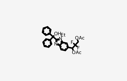 CCn1c(C(O)(c2ccccc2)c2ccccc2)nc2ccc(C(OC(C)=O)C(F)(F)COC(C)=O)cc21